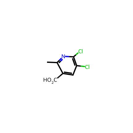 Cc1nc(Cl)c(Cl)cc1C(=O)O